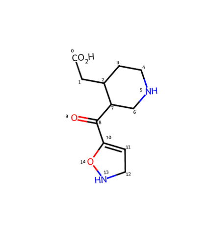 O=C(O)CC1CCNCC1C(=O)C1=CCNO1